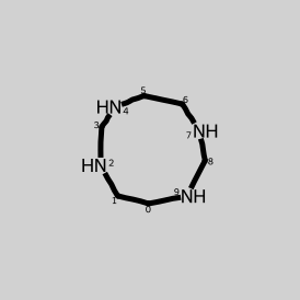 C1CNCNCCNCN1